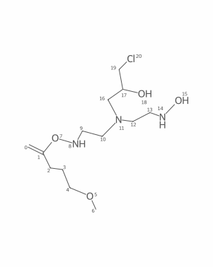 C=C(CCCOC)ONCCN(CCNO)CC(O)CCl